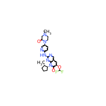 C[C@H]1CCC[C@H]1n1c(=O)c(OC(F)F)cc2cnc(Nc3ccc(N4CCN(C)CC4=O)cn3)nc21